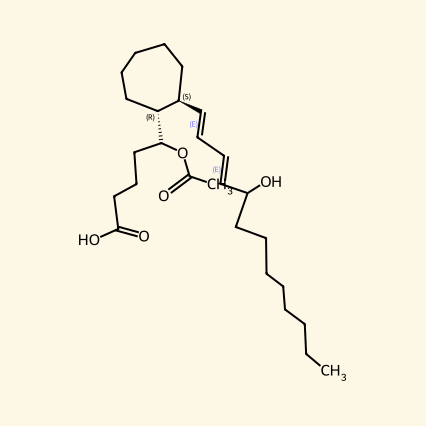 CCCCCCCCC(O)/C=C/C=C/[C@@H]1CCCCC[C@H]1C(CCCC(=O)O)OC(C)=O